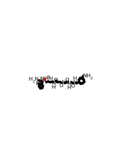 CCCCc1nc2c(N)nc3ccccc3c2n1CCCCNC(=O)CCC(=O)NCC(=O)NCC(=O)NCC1=C/C=C\C=C(CN)/C=C\1